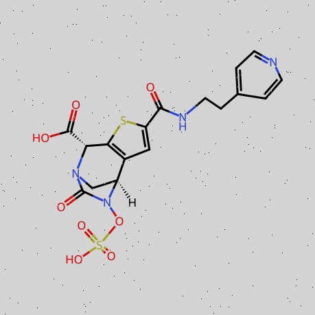 O=C(NCCc1ccncc1)c1cc2c(s1)[C@@H](C(=O)O)N1C[C@@H]2N(OS(=O)(=O)O)C1=O